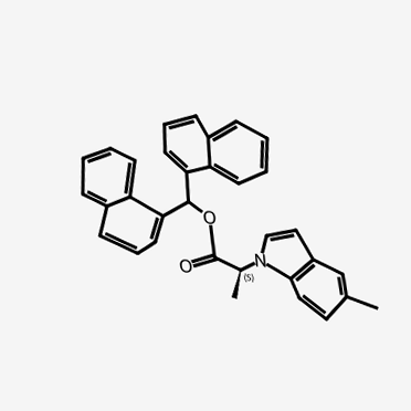 Cc1ccc2c(ccn2[C@@H](C)C(=O)OC(c2cccc3ccccc23)c2cccc3ccccc23)c1